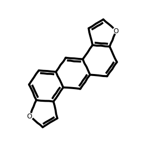 c1cc2c(ccc3cc4c(ccc5occc54)cc32)o1